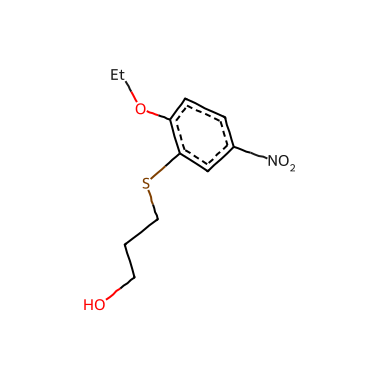 CCOc1ccc([N+](=O)[O-])cc1SCCCO